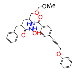 COCOCC(CC(Cc1ccccc1)C(=O)NO)NC(=O)c1ccc(C#CCOc2ccccc2)cc1